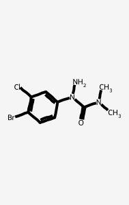 CN(C)C(=O)N(N)c1ccc(Br)c(Cl)c1